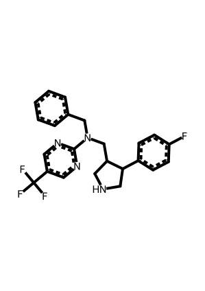 Fc1ccc(C2CNCC2CN(Cc2ccccc2)c2ncc(C(F)(F)F)cn2)cc1